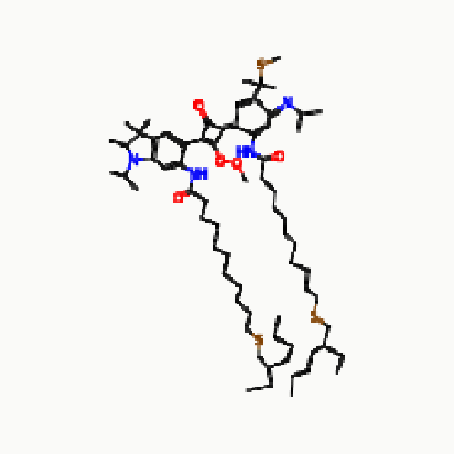 CCCCC(CC)CSCCCCCCCCCCC(=O)NC1=CC(=N\C(C)C)/C(C(C)(C)SC)=CC/1=C1\C(=O)C(c2cc3c(cc2NC(=O)CCCCCCCCCCSCC(CC)CCCC)N(C(C)C)C(C)C3(C)C)=C1OOC